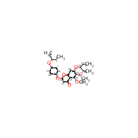 CCC(CC)Oc1ccc(Oc2cc(=O)c3c(OC)c(OC)c(OC(CC)CC)cc3o2)cc1